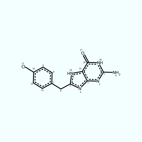 Nc1nc2nc(Cc3ccc(Cl)cc3)[nH]c2c(=O)[nH]1